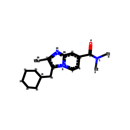 CCN(CC)C(=O)c1ccn2c(CC3CCCCC3)c(C(C)(C)C)nc2c1